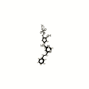 NS(=O)(=O)OC[C@@H]1C[C@@H](Nc2cc(CCc3ccccc3)ncn2)C[C@@H]1O